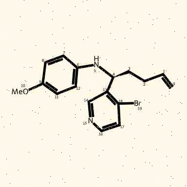 C=CCC[C@H](Nc1ccc(OC)cc1)c1cnccc1Br